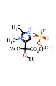 CCCCCCCCOS(=O)(=O)[O-].CCOC(=O)C(OC)(OCC)c1c[nH]c(C)[n+]1C